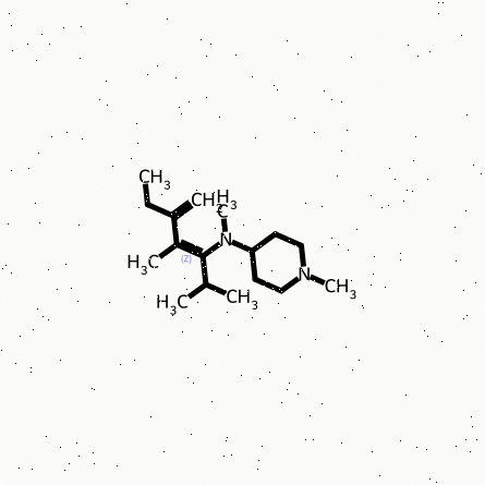 C=C(CC)/C(C)=C(/C(C)C)N(C)C1CCN(C)CC1